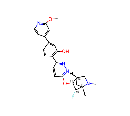 COc1cc(-c2ccc(-c3ccc(O[C@H]4[C@@H]5CN(C)[C@@](C)(C5)[C@@H]4F)nn3)c(O)c2)ccn1